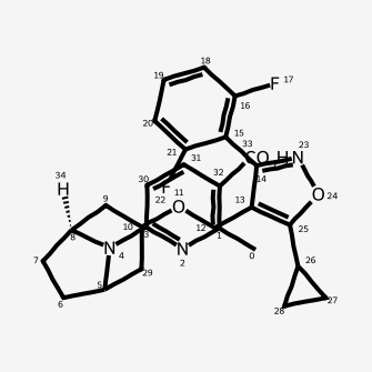 Cc1nc(N2C3CC[C@H]2CC(OCc2c(-c4c(F)cccc4F)noc2C2CC2)C3)ccc1C(=O)O